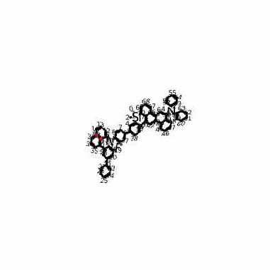 C[Si]1(C)c2cc(-c3ccc(N(c4ccccc4)c4c(F)cc(-c5ccccc5)cc4-c4ccccc4)cc3)ccc2-c2cc3c4ccccc4c(N(c4ccccc4)c4ccccc4)cc3c3cccc1c23